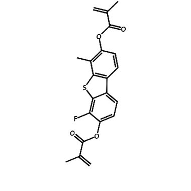 C=C(C)C(=O)Oc1ccc2c(sc3c(F)c(OC(=O)C(=C)C)ccc32)c1C